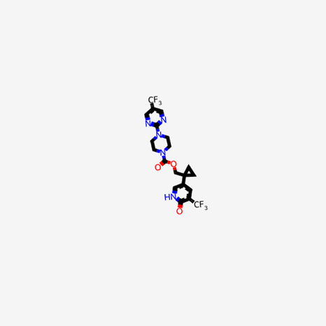 O=C(OCC1(c2c[nH]c(=O)c(C(F)(F)F)c2)CC1)N1CCN(c2ncc(C(F)(F)F)cn2)CC1